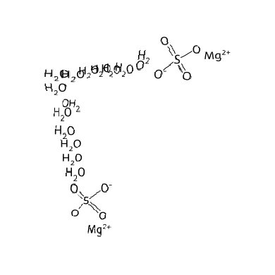 O.O.O.O.O.O.O.O.O.O.O.O.O.O.O=S(=O)([O-])[O-].O=S(=O)([O-])[O-].[Mg+2].[Mg+2]